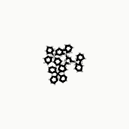 c1ccc(C(c2ccccc2)(c2ccccc2)c2ccc(-c3nc(-n4c5ccccc5c5ccccc54)cc(-n4c5ccccc5c5ccc([Si](c6ccccc6)(c6ccccc6)c6ccccc6)cc54)n3)cc2)cc1